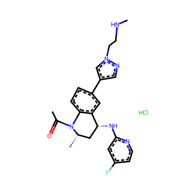 CNCCn1cc(-c2ccc3c(c2)[C@H](Nc2cc(F)ccn2)C[C@H](C)N3C(C)=O)cn1.Cl